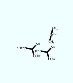 CCCCCCCC(S)C(=O)[O-].CCCCCCCC(S)C(=O)[O-].[CH3][Sn+2][CH3]